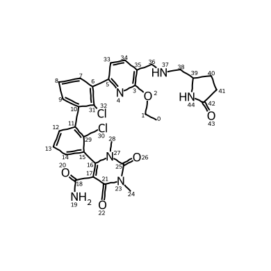 CCOc1nc(-c2cccc(-c3cccc(-c4c(C(N)=O)c(=O)n(C)c(=O)n4C)c3Cl)c2Cl)ccc1CNCC1CCC(=O)N1